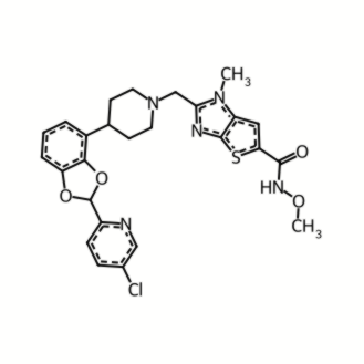 CONC(=O)c1cc2c(nc(CN3CCC(c4cccc5c4OC(c4ccc(Cl)cn4)O5)CC3)n2C)s1